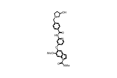 CNC(=O)n1ccc2cc(Oc3ccnc(NC(=O)c4ccc(CN5CCC(O)C5)cc4)c3)c(OC)cc21